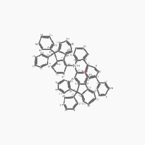 c1ccc(-c2ccc(-c3ccccc3N(c3ccc4c(c3)C(c3ccccc3)(c3ccccc3)c3ccccc3-4)c3cccc4c3-c3ccccc3C4(c3ccccc3)c3ccccc3)cc2)cc1